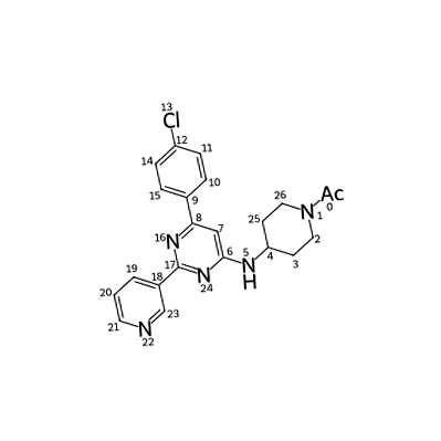 CC(=O)N1CCC(Nc2cc(-c3ccc(Cl)cc3)nc(-c3cccnc3)n2)CC1